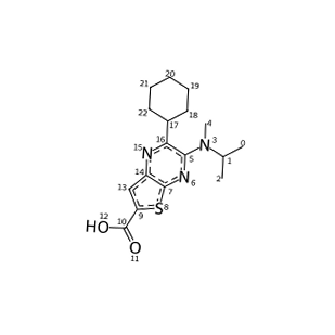 CC(C)N(C)c1nc2sc(C(=O)O)cc2nc1C1CCCCC1